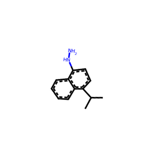 CC(C)c1ccc(NN)c2ccccc12